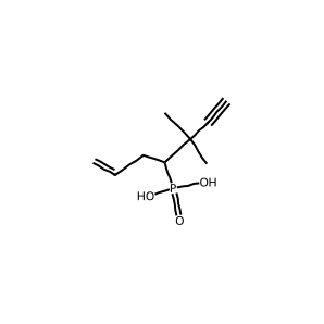 C#CC(C)(C)C(CC=C)P(=O)(O)O